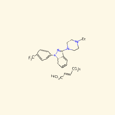 CCN1CCN(c2nn(-c3ccc(C(F)(F)F)cc3)c3ccccc23)CC1.O=C(O)C=CC(=O)O